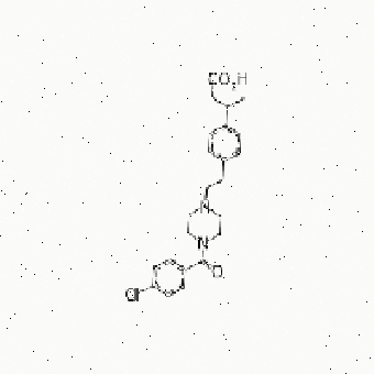 CC(CC(=O)O)c1ccc(CCN2CCN(C(=O)c3ccc(Cl)cc3)CC2)cc1